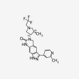 Cc1cc(-c2n[nH]c3cc4c(cc23)CN([C@@H]2CN(CC(F)(F)F)C[C@H]2C)C(=O)N4)ccn1